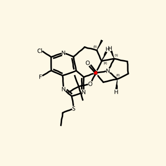 CCSc1nc2c3c(nc(Cl)c(F)c3n1)C[C@@H](C)[C@@H]1[C@@H]3CC[C@H](CN21)N3C(=O)OC(C)(C)C